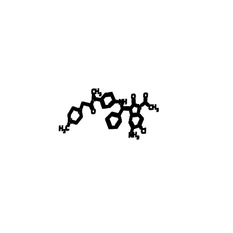 CC(=O)N1C(=O)/C(=C(\Nc2ccc(N(C)C(=O)CN3CCN(C)CC3)cc2)c2ccccc2)c2cc(N)c(Cl)cc21